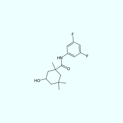 CC1(C)CC(O)CC(C)(C(=O)Nc2cc(F)cc(F)c2)C1